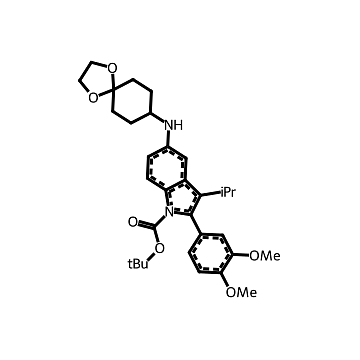 COc1ccc(-c2c(C(C)C)c3cc(NC4CCC5(CC4)OCCO5)ccc3n2C(=O)OC(C)(C)C)cc1OC